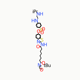 CC(C)NCCNc1ccc(S(=O)(=O)Oc2ccc3nc(NC(=O)CCCCCCC(N=C=O)OC(C)(C)C)sc3c2)cc1